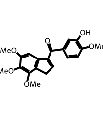 COc1ccc(C(=O)C2=CCc3c2cc(OC)c(OC)c3OC)cc1O